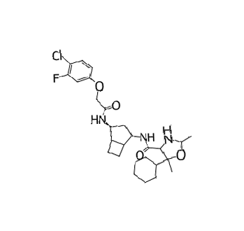 CC1NC(C(=O)NC2C[C@H](NC(=O)COc3ccc(Cl)c(F)c3)C3CCC23)C(C)(C2CCCCC2)O1